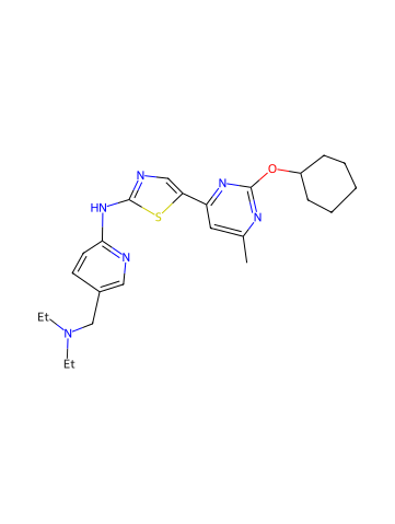 CCN(CC)Cc1ccc(Nc2ncc(-c3cc(C)nc(OC4CCCCC4)n3)s2)nc1